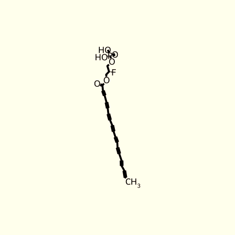 CC#CC#CC#CC#CC#CC#CC#CC#CC(=O)OC[C@@H](F)COP(=O)(O)O